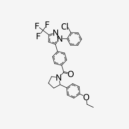 CCOc1ccc(C2CCCN2C(=O)c2ccc(-c3cc(C(F)(F)F)nn3-c3ccccc3Cl)cc2)cc1